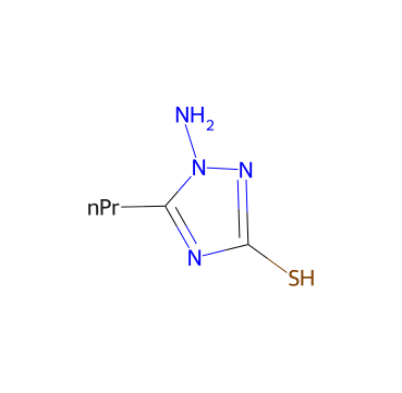 CCCc1nc(S)nn1N